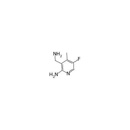 Cc1c(F)cnc(N)c1CN